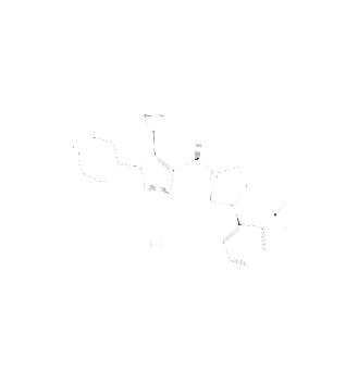 Cl.O=C(c1cnn(C2CCNCC2)c1C1CC1)N1CC[C@@H](c2ccccc2C(F)(F)F)C1